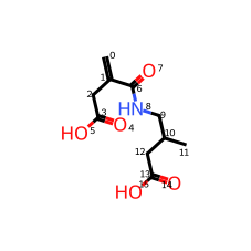 C=C(CC(=O)O)C(=O)NCC(C)CC(=O)O